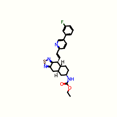 CCOC(=O)N[C@@H]1CC[C@@H]2[C@H](Cc3nsnc3[C@H]2/C=C/c2ccc(-c3cccc(F)c3)cn2)C1